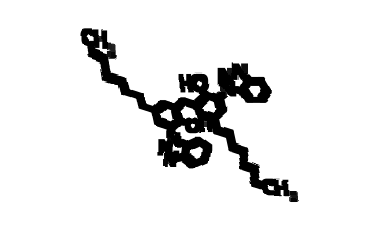 CCCCCCCCc1cc(Cc2cc(CCCCCCCC)cc(-n3nnc4ccccc43)c2O)c(O)c(-n2nnc3ccccc32)c1